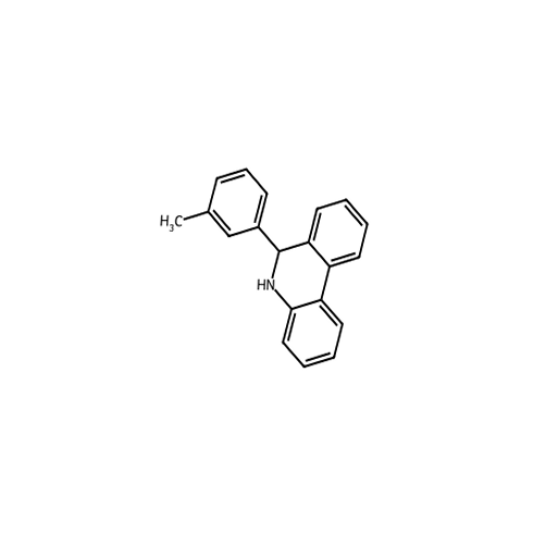 Cc1cccc(C2Nc3ccccc3-c3ccccc32)c1